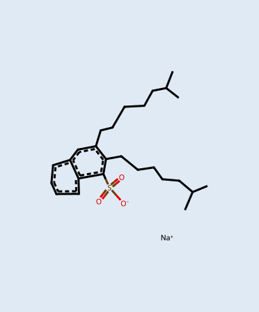 CC(C)CCCCCc1cc2ccccc2c(S(=O)(=O)[O-])c1CCCCCC(C)C.[Na+]